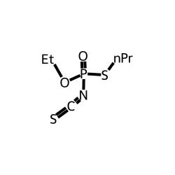 CCCSP(=O)(N=C=S)OCC